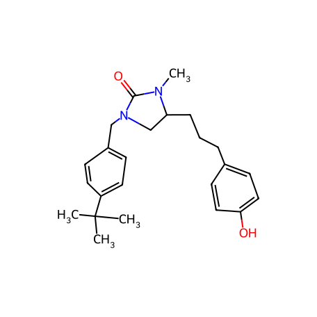 CN1C(=O)N(Cc2ccc(C(C)(C)C)cc2)CC1CCCc1ccc(O)cc1